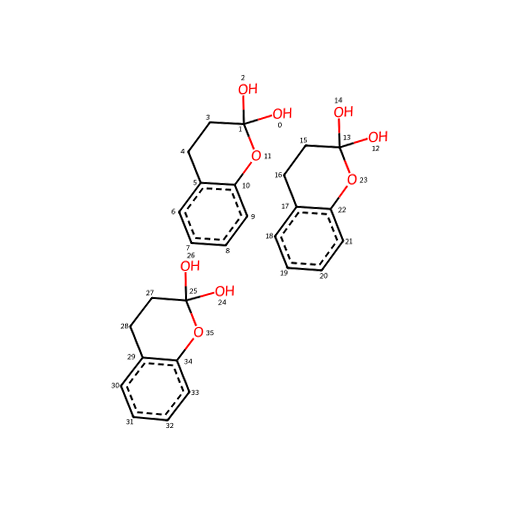 OC1(O)CCc2ccccc2O1.OC1(O)CCc2ccccc2O1.OC1(O)CCc2ccccc2O1